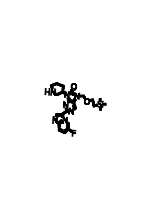 C[Si](C)(C)CCOCn1c(=O)n(C2CCCNC2)c2nc(-c3cnc4ccc(F)cn34)ncc21